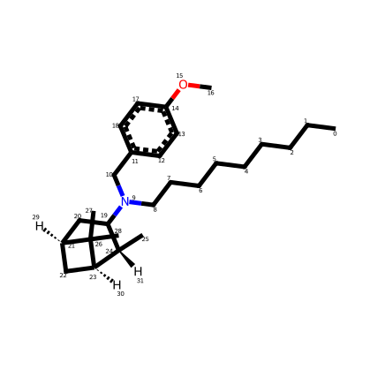 CCCCCCCCCN(Cc1ccc(OC)cc1)C1C[C@@H]2C[C@H]([C@H]1C)C2(C)C